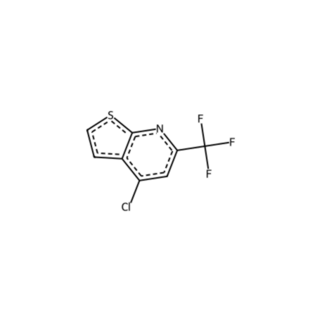 FC(F)(F)c1cc(Cl)c2ccsc2n1